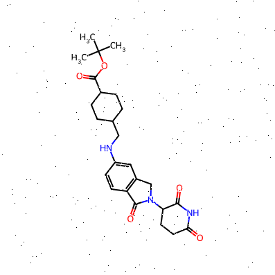 CC(C)(C)OC(=O)C1CCC(CNc2ccc3c(c2)CN(C2CCC(=O)NC2=O)C3=O)CC1